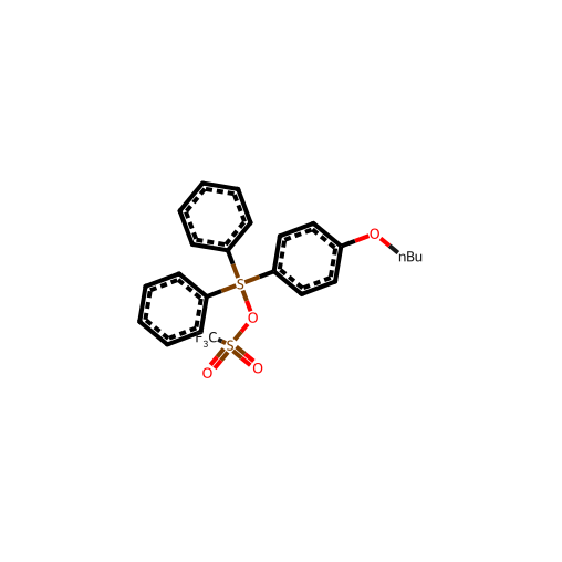 CCCCOc1ccc(S(OS(=O)(=O)C(F)(F)F)(c2ccccc2)c2ccccc2)cc1